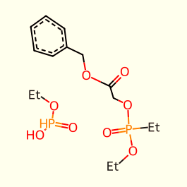 CCOP(=O)(CC)OCC(=O)OCc1ccccc1.CCO[PH](=O)O